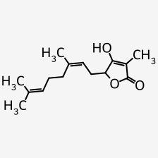 CC(C)=CCCC(C)=CCC1OC(=O)C(C)=C1O